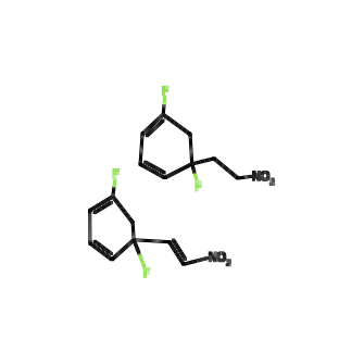 O=[N+]([O-])C=CC1(F)C=CC=C(F)C1.O=[N+]([O-])CCC1(F)C=CC=C(F)C1